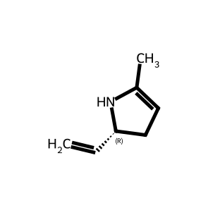 C=C[C@H]1CC=C(C)N1